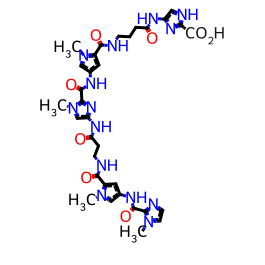 Cn1cc(NC(=O)c2nc(NC(=O)CCNC(=O)c3cc(NC(=O)c4nccn4C)cn3C)cn2C)cc1C(=O)NCCCC(=O)Nc1c[nH]c(C(=O)O)n1